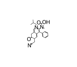 CC(C)CN1C=C2CC(=O)C(CC#N)C=C2C(c2ccccc2)=C1N(C)C(=O)O